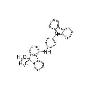 CC1(C)c2ccccc2-c2c(Nc3ccc(-n4c5ccccc5c5ccccc54)cc3)cccc21